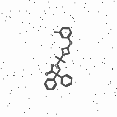 Cc1cccc(OC2CN(C(C)(C)CCC(C(N)=O)(c3ccccc3)c3ccccc3)C2)c1